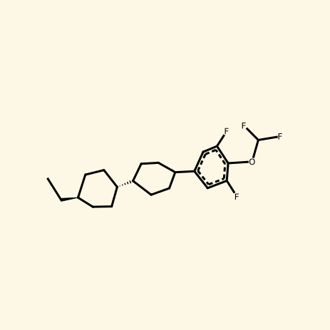 CC[C@H]1CC[C@H](C2CCC(c3cc(F)c(OC(F)F)c(F)c3)CC2)CC1